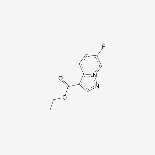 CCOC(=O)c1cnn2cc(F)ccc12